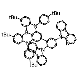 CC(C)(C)c1ccc(N2c3ccc(C(C)(C)C)cc3B3c4cc(C(C)(C)C)ccc4N(c4ccc(C(C)(C)C)cc4)c4cc(-c5cc(-n6c7ccccc7c7cccnc76)ccc5-n5c6ccccc6c6ccccc65)cc2c43)cc1